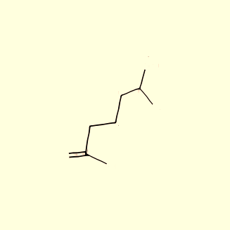 C=C(O)CCCC(O)CCCC